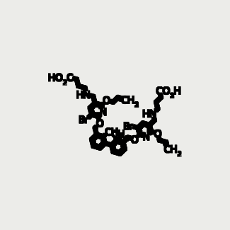 C=CCOc1nc(OCc2cccc(-c3cccc(COc4nc(OCC=C)c(CNCCCC(=O)O)cc4Br)c3C)c2C)c(Br)cc1CNCCCC(=O)O